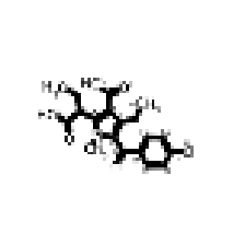 CCc1c(C(=O)O)c(C(CC)C(=O)O)n(C)c1C(=O)c1ccc(Cl)cc1